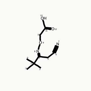 CC(C)(C)C(CC#N)=NOCC(=O)O